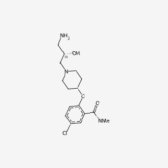 CNC(=O)c1cc(Cl)ccc1OC1CCN(C[C@@H](O)CN)CC1